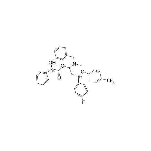 CN(Cc1ccccc1)C(C[C@H](Oc1ccc(C(F)(F)F)cc1)c1ccc(F)cc1)OC(=O)[C@H](O)c1ccccc1